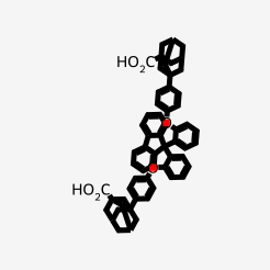 O=C(O)C12CC3CC(C1)CC(c1ccc(Oc4ccccc4C4(c5ccccc5Oc5ccc(C67CC8CC(CC(C(=O)O)(C8)C6)C7)cc5)c5ccccc5-c5ccccc54)cc1)(C3)C2